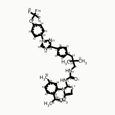 CC1=CSC(NC(=O)NCC(C)(C)Cc2ccc(-c3ncn(-c4ccc(OC(F)(F)F)cc4)n3)cc2)N1c1cc(C)ccc1C(C)C